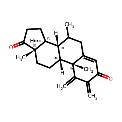 C=C1C(=C)[C@@]2(C)C(=CC1=O)CC(C)[C@@H]1[C@H]2CC[C@]2(C)C(=O)CC[C@@H]12